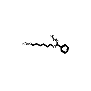 CCCCCCCCCCCCCCCCOC(N=[N+]=[N-])c1ccccc1